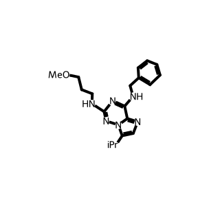 COCCCNc1nc(NCc2ccccc2)c2ncc(C(C)C)n2n1